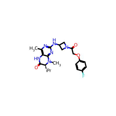 Cc1nc(NC2CN(C(=O)COc3ccc(F)cc3)C2)nc2c1NC(=O)[C@H](C(C)C)N2C